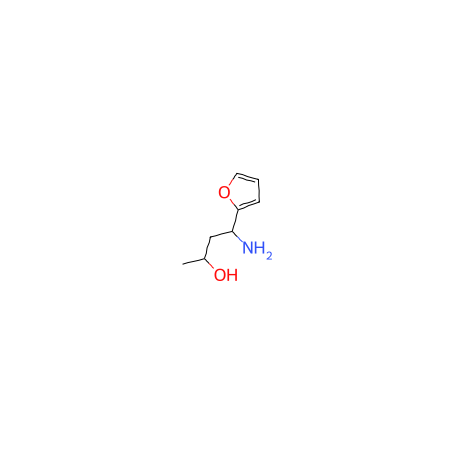 CC(O)CC(N)c1ccco1